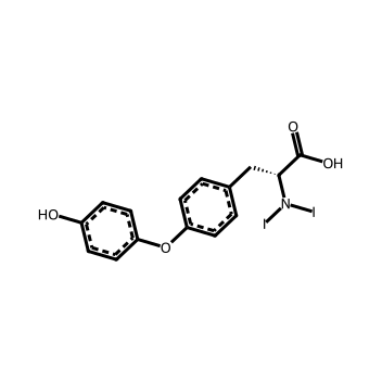 O=C(O)[C@@H](Cc1ccc(Oc2ccc(O)cc2)cc1)N(I)I